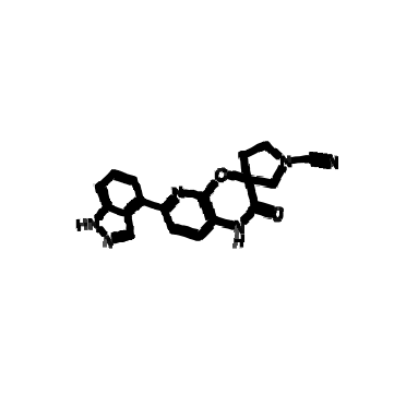 N#CN1CCC2(C1)Oc1nc(-c3cccc4[nH]ncc34)ccc1NC2=O